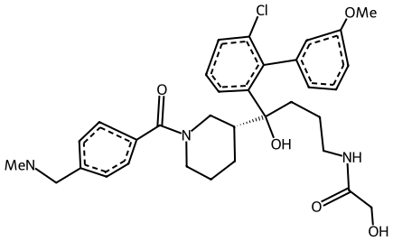 CNCc1ccc(C(=O)N2CCC[C@@H](C(O)(CCCNC(=O)CO)c3cccc(Cl)c3-c3cccc(OC)c3)C2)cc1